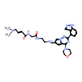 CN(C)C/C=C/C(=O)NCC(=O)NCCNCc1cc2c(N3CCOCC3)nc(-c3cccc4[nH]ncc34)nn2c1